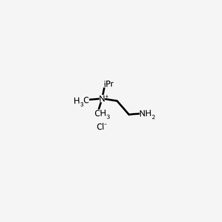 CC(C)[N+](C)(C)CCN.[Cl-]